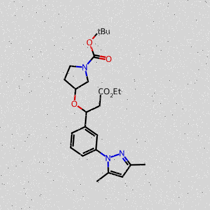 CCOC(=O)CC(OC1CCN(C(=O)OC(C)(C)C)C1)c1cccc(-n2nc(C)cc2C)c1